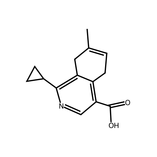 CC1=CCc2c(C(=O)O)cnc(C3CC3)c2C1